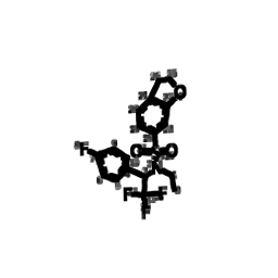 CCN([C@H](c1ccc(F)cc1)C(F)(F)F)S(=O)(=O)c1ccc2c(c1)OCC2